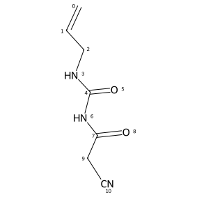 C=CCNC(=O)NC(=O)CC#N